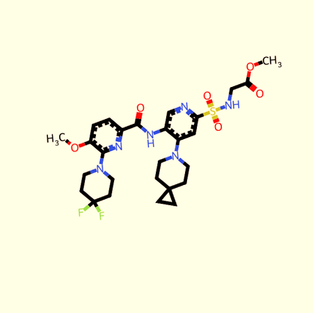 COC(=O)CNS(=O)(=O)c1cc(N2CCC3(CC2)CC3)c(NC(=O)c2ccc(OC)c(N3CCC(F)(F)CC3)n2)cn1